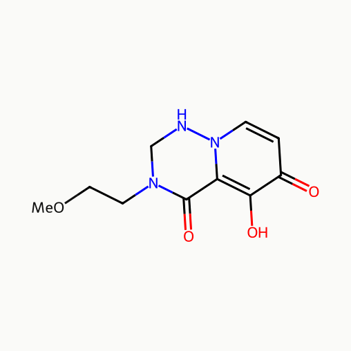 COCCN1CNn2ccc(=O)c(O)c2C1=O